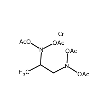 CC(=O)ON(CC(C)N(OC(C)=O)OC(C)=O)OC(C)=O.[Cr]